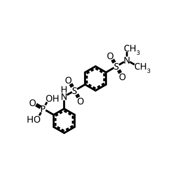 CN(C)S(=O)(=O)c1ccc(S(=O)(=O)Nc2ccccc2P(=O)(O)O)cc1